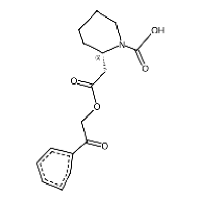 O=C(C[C@@H]1CCCCN1C(=O)O)OCC(=O)c1ccccc1